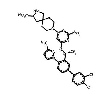 Cc1ccn(-c2ccc(-c3ccc(Cl)c(Cl)c3)cc2[C@@H](Oc2cc(N3CCC4(CC3)CNC(C(=O)O)C4)nc(N)n2)C(F)(F)F)n1